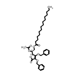 CCCCCCCCCCCCCCCC(=O)OC[C@H](OC(C)=O)[C@H]1OC(=O)C(OCc2ccccc2)=C1OCc1ccccc1